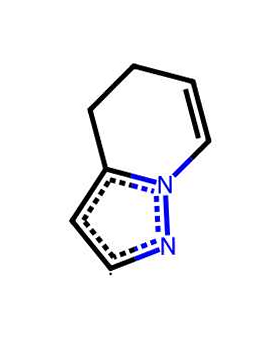 [c]1cc2n(n1)C=CCC2